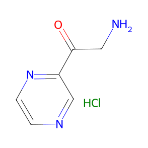 Cl.NCC(=O)c1cnccn1